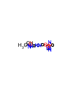 CCC(C)n1ncn(-c2ccc(N3CCN(c4ccc(OCC5COC(Cn6nccn6)(c6ccccc6C#N)O5)cc4)CC3)cc2)c1=O